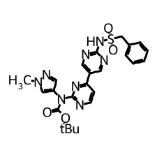 Cn1cc(N(C(=O)OC(C)(C)C)c2nccc(-c3cnc(NS(=O)(=O)Cc4ccccc4)nc3)n2)cn1